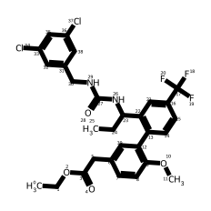 CCOC(=O)Cc1ccc(OC)c(-c2ccc(C(F)(F)F)cc2C(CC)NC(=O)NCc2cc(Cl)cc(Cl)c2)c1